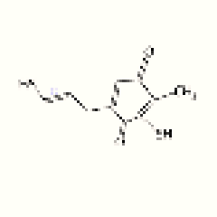 CC1=C(S)C(=O)C(C/C=C/S)=CC1=O